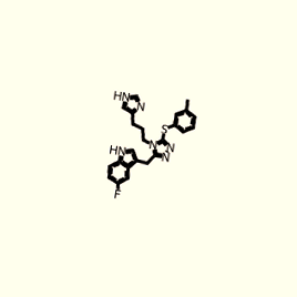 Cc1cccc(Sc2nnc(Cc3c[nH]c4ccc(F)cc34)n2CCCc2c[nH]cn2)c1